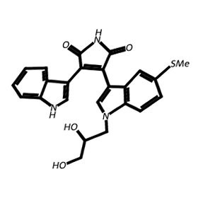 CSc1ccc2c(c1)c(C1=C(c3c[nH]c4ccccc34)C(=O)NC1=O)cn2CC(O)CO